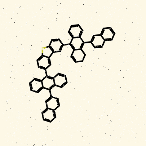 C1=Cc2c(c(-c3ccc4ccccc4c3)c3ccccc3c2-c2ccc3sc4ccc(-c5c6ccccc6c(-c6ccc7ccccc7c6)c6ccccc56)cc4c3c2)CC1